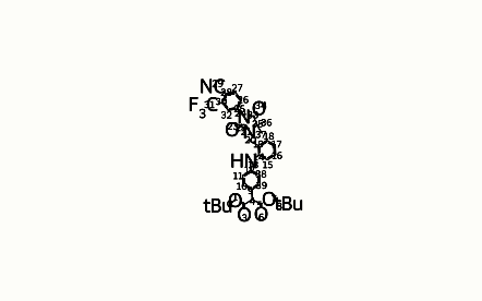 CC(C)(C)OC(=O)C(C(=O)OC(C)(C)C)c1ccc(Nc2ccccc2CN2C(=O)N(c3ccc(C#N)c(C(F)(F)F)c3)C(=O)C2(C)C)cc1